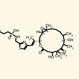 C/C(=C\c1csc(CNP(=O)(O)CCN)n1)[C@@H]1C[C@@H]2O[C@]2(C)CCCC(C)[C@H](O)C(C)C(=O)C(C)(C)C(O)CC(=O)O1